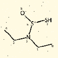 CCN(CC)[S+]([O-])S